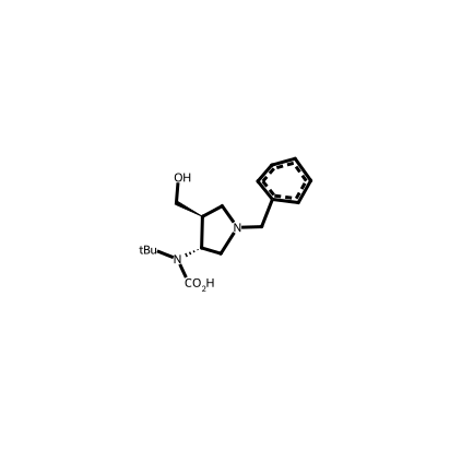 CC(C)(C)N(C(=O)O)[C@H]1CN(Cc2ccccc2)C[C@@H]1CO